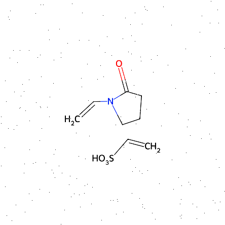 C=CN1CCCC1=O.C=CS(=O)(=O)O